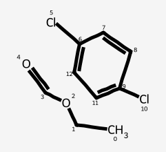 CCOC=O.Clc1ccc(Cl)cc1